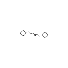 c1ccc(CCC[N]CCc2ccccc2)cc1